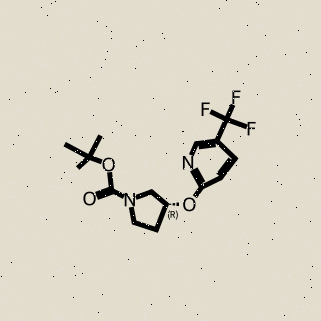 CC(C)(C)OC(=O)N1CC[C@@H](Oc2ccc(C(F)(F)F)cn2)C1